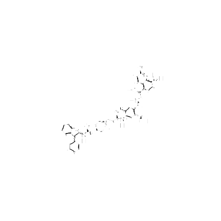 COc1cc(NC(=O)CCN2CCC(OC(=O)Nc3sc4ccccc4c3-c3ccccc3)CC2)c(Cl)cc1CNCC(O)c1ccc(O)c2[nH]c(=O)ccc12